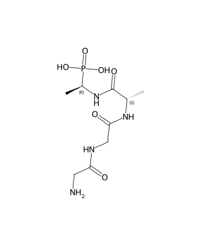 C[C@H](NC(=O)CNC(=O)CN)C(=O)N[C@@H](C)P(=O)(O)O